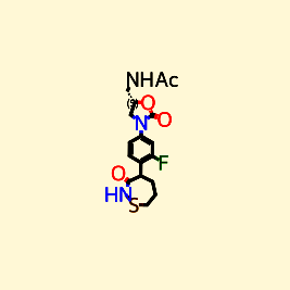 CC(=O)NC[C@H]1CN(c2ccc(C3CCCSNC3=O)c(F)c2)C(=O)O1